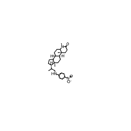 CC(CNc1ccc([N+](=O)[O-])cc1)[C@H]1CC[C@H]2[C@@H]3CCC4N(C)C(=O)CC[C@]4(C)[C@H]3CC[C@]12C